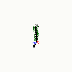 C=CCNC(=O)C(F)(F)C(F)(F)C(F)(F)C(F)(F)C(F)(F)C(F)(F)C(F)(F)C(F)(F)C(F)(F)F